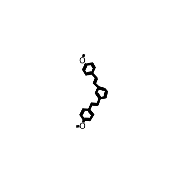 COc1ccc(C=Cc2cccc(C=Cc3ccc(OC)cc3)c2)cc1